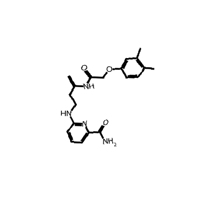 C=C(CCNc1cccc(C(N)=O)n1)NC(=O)COc1ccc(C)c(C)c1